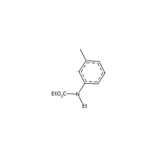 CCOC(=O)N(CC)c1[c]c(C)ccc1